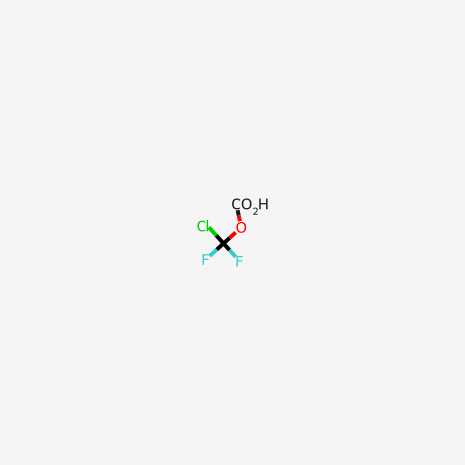 O=C(O)OC(F)(F)Cl